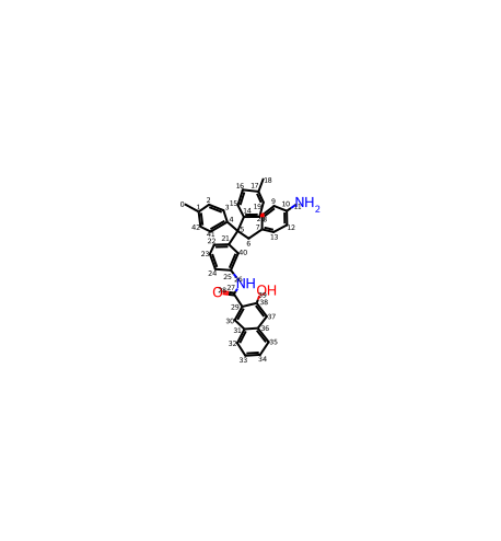 Cc1ccc(C(Cc2ccc(N)cc2)(c2ccc(C)cc2)c2cccc(NC(=O)c3cc4ccccc4cc3O)c2)cc1